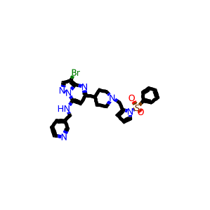 O=S(=O)(c1ccccc1)n1cccc1CN1CCC(c2cc(NCc3cccnc3)n3ncc(Br)c3n2)CC1